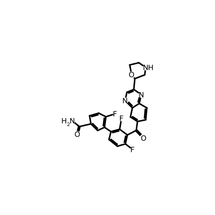 NC(=O)c1ccc(F)c(-c2ccc(F)c(C(=O)c3ccc4nc(C5CNCCO5)cnc4c3)c2F)c1